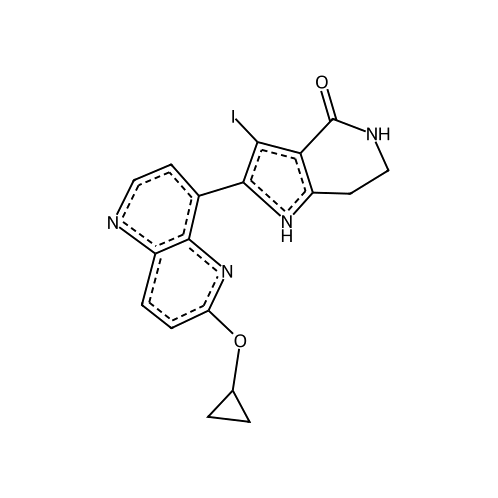 O=C1NCCc2[nH]c(-c3ccnc4ccc(OC5CC5)nc34)c(I)c21